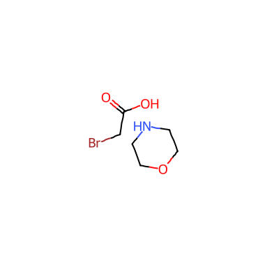 C1COCCN1.O=C(O)CBr